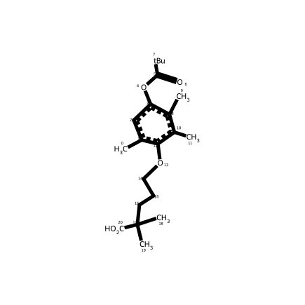 Cc1cc(OC(=O)C(C)(C)C)c(C)c(C)c1OCCCC(C)(C)C(=O)O